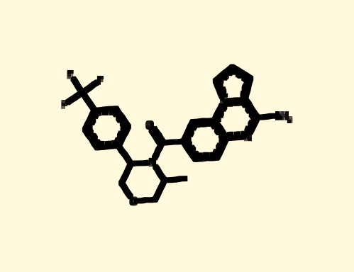 CC1COCC(c2ccc(C(F)(F)F)cc2)N1C(=O)c1ccc2nc(N)c3cccn3c2c1